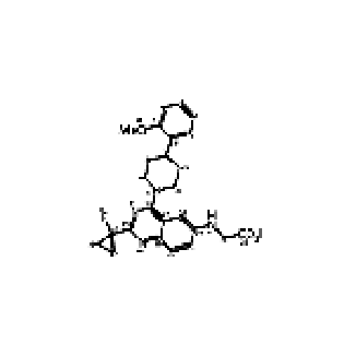 COc1ccccc1C1CCN(c2nc(C3(F)CC3)nc3ccc(NCC(=O)O)cc23)CC1